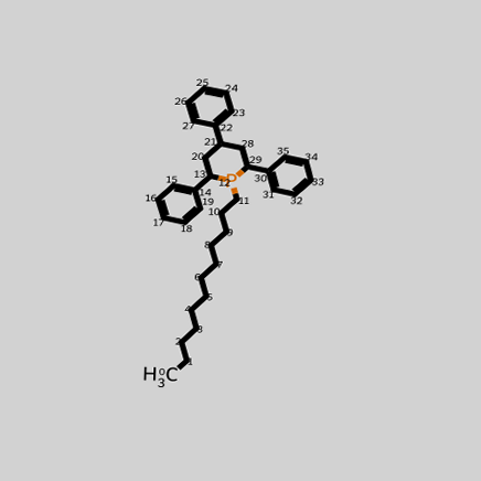 CCCCCCCCCCCCP1C(c2ccccc2)CC(c2ccccc2)CC1c1ccccc1